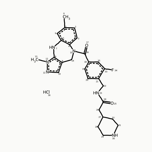 Cc1ccc2c(c1)Nc1c(cnn1C)CN2C(=O)c1ccc(CNC(=O)CC2CCNCC2)c(F)c1.Cl